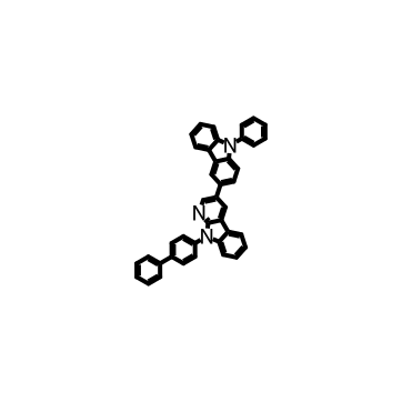 c1ccc(-c2ccc(-n3c4ccccc4c4cc(-c5ccc6c(c5)c5ccccc5n6-c5ccccc5)cnc43)cc2)cc1